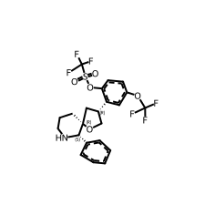 O=S(=O)(Oc1ccc(OC(F)(F)F)cc1[C@@H]1CO[C@]2(CCCN[C@H]2c2ccccc2)C1)C(F)(F)F